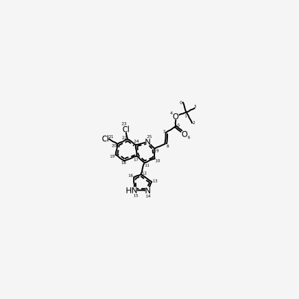 CC(C)(C)OC(=O)/C=C/c1cc(-c2cn[nH]c2)c2ccc(Cl)c(Cl)c2n1